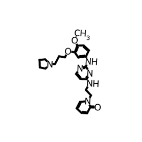 COc1ccc(Nc2nccc(NCCn3ccccc3=O)n2)cc1OCCCN1CCCC1